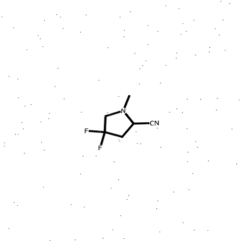 CN1CC(F)(F)CC1C#N